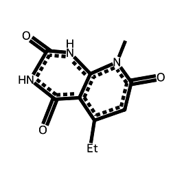 CCc1cc(=O)n(C)c2[nH]c(=O)[nH]c(=O)c12